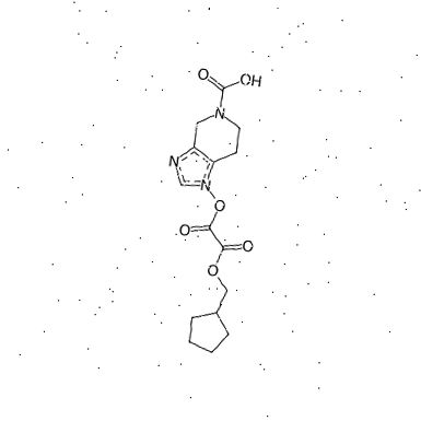 O=C(OCC1CCCC1)C(=O)On1cnc2c1CCN(C(=O)O)C2